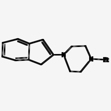 CCN1CCN(C2=Cc3ccccc3C2)CC1